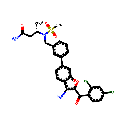 CS(=O)(=O)N(Cc1cccc(-c2ccc3c(N)c(C(=O)c4ccc(Cl)cc4Cl)oc3c2)c1)[C@H](CC(N)=O)C(=O)O